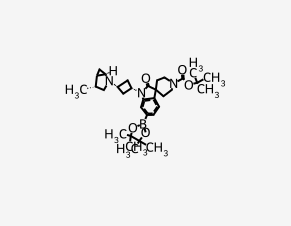 C[C@H]1CN([C@H]2C[C@@H](N3C(=O)C4(CCN(C(=O)OC(C)(C)C)CC4)c4ccc(B5OC(C)(C)C(C)(C)O5)cc43)C2)[C@@H]2CC21